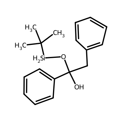 CC(C)(C)[SiH2]OC(O)(Cc1ccccc1)c1ccccc1